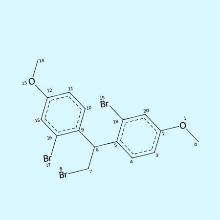 COc1ccc(C(CBr)c2ccc(OC)cc2Br)c(Br)c1